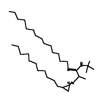 CCCCCCCCCCCC1CC1.CCCCCCCCCCCCCCN=C(NC(C)(C)C)C(C)[AsH2]